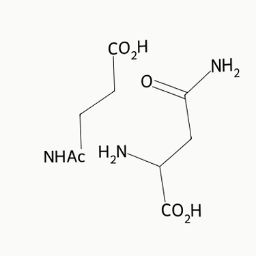 CC(=O)NCCC(=O)O.NC(=O)CC(N)C(=O)O